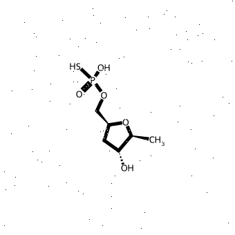 C[C@@H]1O[C@H](COP(=O)(O)S)C[C@H]1O